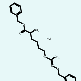 C/C(=N\OCc1ccccc1)NCCCCC(N)C(=O)OCc1ccccc1.Cl